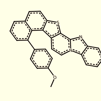 COc1ccc(-c2cccc3ccc4sc5c(ccn6c7ccccc7nc56)c4c23)cc1